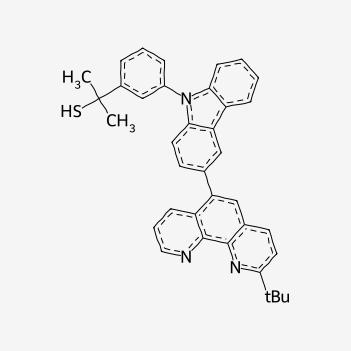 CC(C)(C)c1ccc2cc(-c3ccc4c(c3)c3ccccc3n4-c3cccc(C(C)(C)S)c3)c3cccnc3c2n1